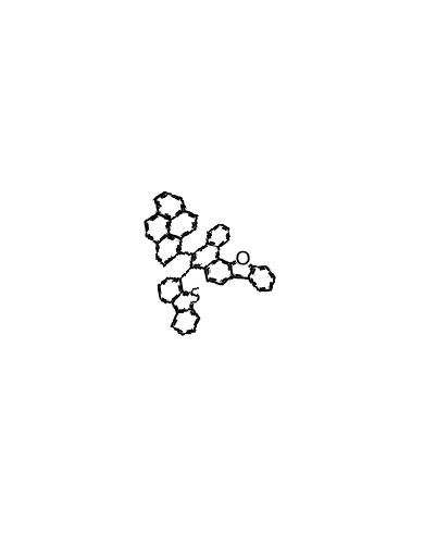 c1cc2ccc3ccc(-c4c(-c5cccc6c5sc5ccccc56)c5ccc6c7ccccc7oc6c5c5ccccc45)c4ccc(c1)c2c34